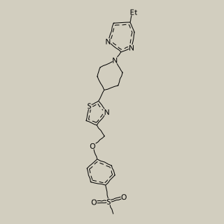 CCc1cnc(N2CCC(c3nc(COc4ccc(S(C)(=O)=O)cc4)cs3)CC2)nc1